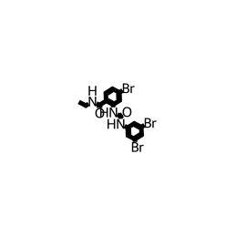 CCNC(=O)c1ccc(Br)cc1NC(=O)Nc1cc(Br)cc(Br)c1